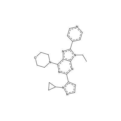 CCn1c(-c2ccncc2)nc2c(N3CCOCC3)nc(-c3ccnn3C3CC3)nc21